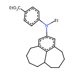 CCOC(=O)c1ccc(N(CC)c2cc3c4c(c2)CCCCC4CCCC3)cc1